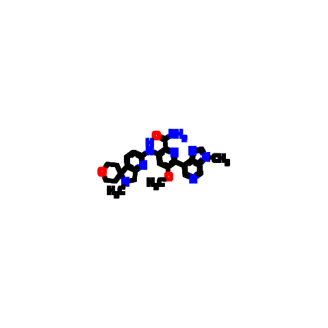 COc1cc(Nc2ccc3c(n2)CN(C)C32CCOCC2)c(C(N)=O)nc1-c1cncc2c1ncn2C